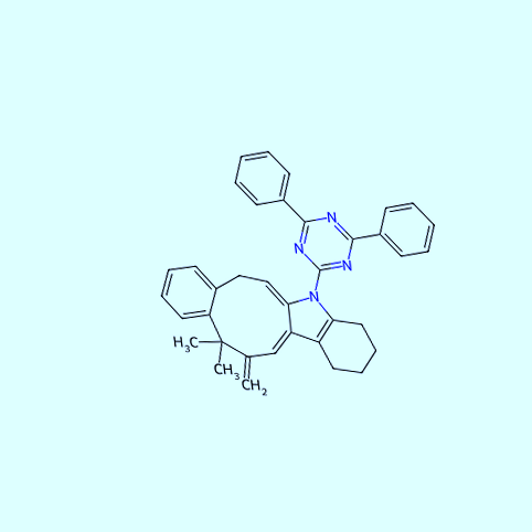 C=C1/C=c2/c3c(n(-c4nc(-c5ccccc5)nc(-c5ccccc5)n4)/c2=C/Cc2ccccc2C1(C)C)CCCC3